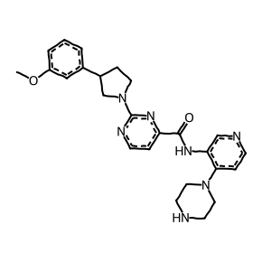 COc1cccc(C2CCN(c3nccc(C(=O)Nc4cnccc4N4CCNCC4)n3)C2)c1